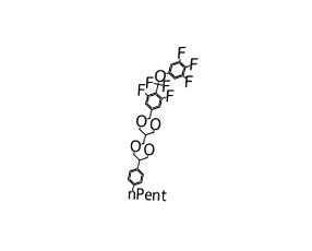 CCCCCc1ccc(C2COC(C3COC(c4cc(F)c(C(F)(F)Oc5cc(F)c(F)c(F)c5)c(F)c4)OC3)OC2)cc1